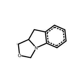 [C]1OCN2c3ccccc3CC12